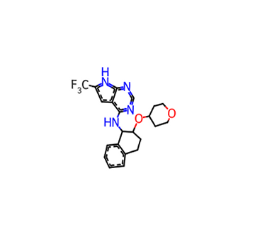 FC(F)(F)c1cc2c(NC3c4ccccc4CCC3OC3CCOCC3)ncnc2[nH]1